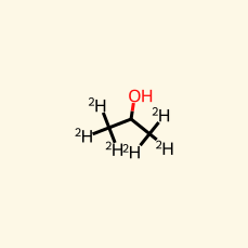 [2H]C([2H])([2H])C(O)C([2H])([2H])[2H]